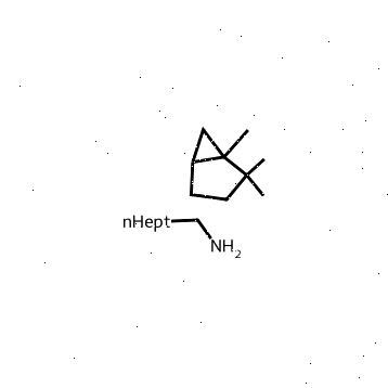 CC1(C)CCC2CC21C.CCCCCCCCN